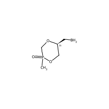 BC[C@H]1COP(C)(=O)CO1